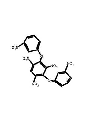 O=[N+]([O-])c1cccc(Oc2c([N+](=O)[O-])cc([N+](=O)[O-])c(Oc3cccc([N+](=O)[O-])c3)c2[N+](=O)[O-])c1